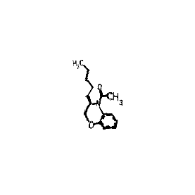 CCCCC=C1COc2ccccc2N1C(C)=O